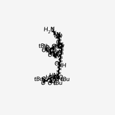 CC(C)(C)OC(=O)CCC(NC(=O)NC(CCCCNC(=O)CCCCCN(Cc1ccc(OCc2cn(CCCN)nn2)cc1)Cc1nccn1CC(=O)N(CC(=O)OC(C)(C)C)CC(=O)OC(C)(C)C)C(=O)OC(C)(C)C)C(=O)OC(C)(C)C